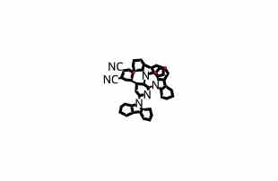 N#Cc1ccc(-c2cc(-n3c4ccccc4c4ccccc43)nc(-n3c4ccccc4c4ccccc43)c2-n2c3ccccc3c3ccccc32)cc1C#N